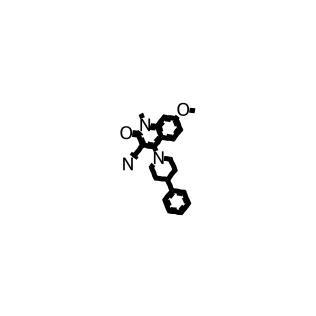 COc1ccc2c(N3CCC(c4ccccc4)CC3)c(C#N)c(=O)n(C)c2c1